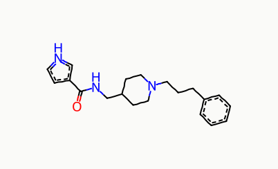 O=C(NCC1CCN(CCCc2ccccc2)CC1)c1cc[nH]c1